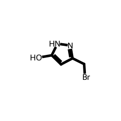 Oc1cc(CBr)n[nH]1